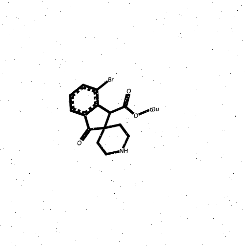 CC(C)(C)OC(=O)C1c2c(Br)cccc2C(=O)C12CCNCC2